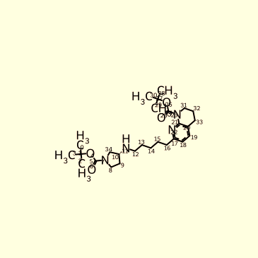 CC(C)(C)OC(=O)N1CC[C@@H](NCCCCCc2ccc3c(n2)N(C(=O)OC(C)(C)C)CCC3)C1